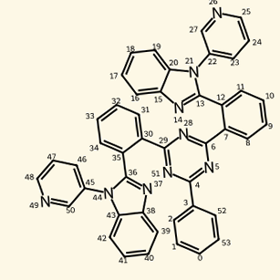 c1ccc(-c2nc(-c3ccccc3-c3nc4ccccc4n3-c3cccnc3)nc(-c3ccccc3-c3nc4ccccc4n3-c3cccnc3)n2)cc1